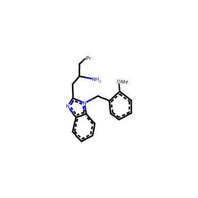 COc1ccccc1Cn1c(CC(N)CC(C)C)nc2ccccc21